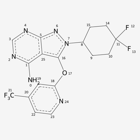 Nc1ncnc2nn(C3CCC(F)(F)CC3)c(Oc3cc(C(F)(F)F)ccn3)c12